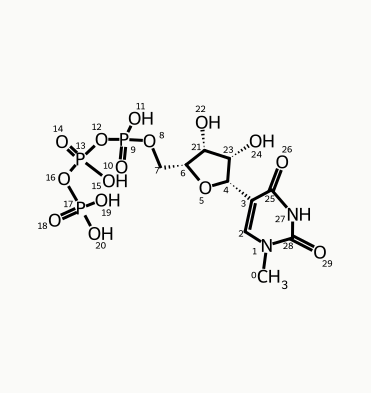 Cn1cc([C@@H]2O[C@H](COP(=O)(O)OP(=O)(O)OP(=O)(O)O)[C@H](O)[C@@H]2O)c(=O)[nH]c1=O